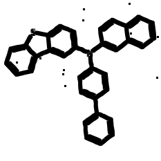 c1ccc(-c2ccc(N(c3ccc4ccccc4c3)c3ccc4sc5ccccc5c4c3)cc2)cc1